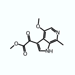 COC(=O)C(=O)c1c[nH]c2c(C)ncc(OC)c12